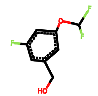 OCc1cc(F)cc(OC(F)F)c1